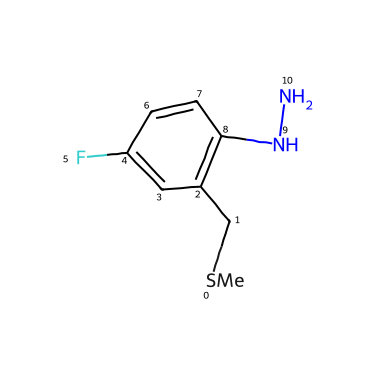 CSCc1cc(F)ccc1NN